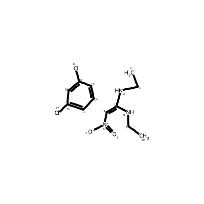 CCNC(=C[N+](=O)[O-])NCC.Clc1cccc(Cl)c1